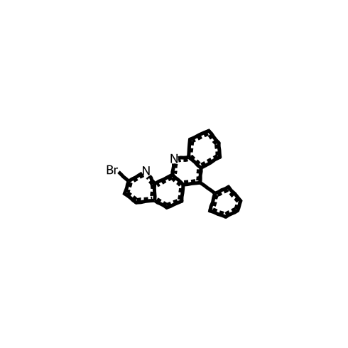 Brc1ccc2ccc3c(-c4ccccc4)c4ccccc4nc3c2n1